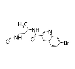 CC(CCNC=O)NC(=O)c1cnc2cc(Br)ccc2c1